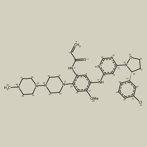 C=CC(=O)Nc1cc(Nc2cc(N3OCC[C@@H]3c3cccc(Cl)c3)ncn2)c(OC)cc1N1CCN(N2CCN(C)CC2)CC1